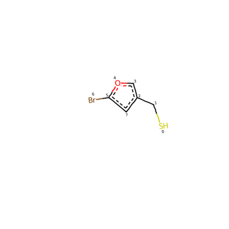 SCc1coc(Br)c1